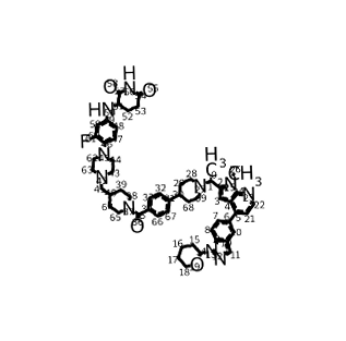 C[C@@H](c1cc2c(-c3ccc4c(cnn4C4CCCCO4)c3)ccnc2n1C)N1CCC(c2ccc(C(=O)N3CCC(CN4CCN(c5ccc(NC6CCC(=O)NC6=O)cc5F)CC4)CC3)cc2)CC1